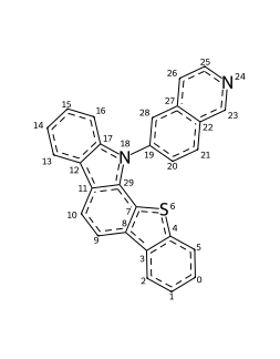 c1ccc2c(c1)sc1c2ccc2c3ccccc3n(-c3ccc4cnccc4c3)c21